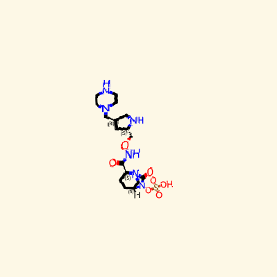 O=C(NOC[C@@H]1C[C@@H](CN2CCNCC2)CN1)[C@@H]1CC[C@@H]2CN1C(=O)N2OS(=O)(=O)O